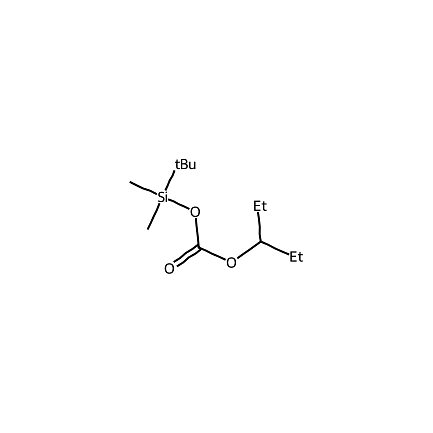 CCC(CC)OC(=O)O[Si](C)(C)C(C)(C)C